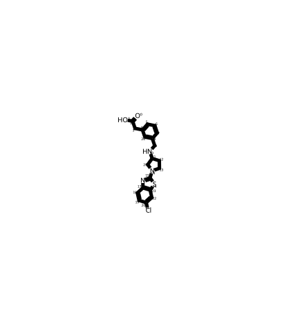 O=C(O)Cc1cccc(CNC2CCN(c3nc4ccc(Cl)cc4s3)C2)c1